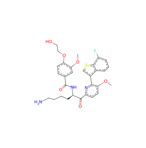 COc1cc(C(=O)N[C@H](CCCCN)C(=O)c2ccc(OC)c(-c3csc4c(F)cccc34)n2)ccc1OCCO